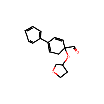 O=CC1(OC2CCOC2)C=CC(c2ccccc2)=CC1